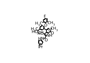 Cc1cc(F)cc(C)c1Oc1ccc(C(C)(C)O)cc1-c1cn(C)c(=O)c2[nH]c(C(=O)Nc3ccc(C(C)C)cc3)c(O)c12